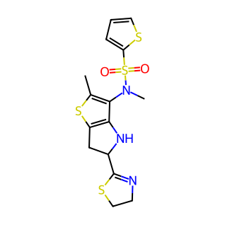 Cc1sc2c(c1N(C)S(=O)(=O)c1cccs1)NC(C1=NCCS1)C2